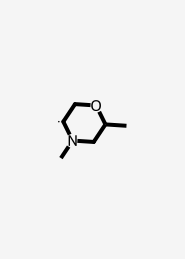 CC1CN(C)[CH]CO1